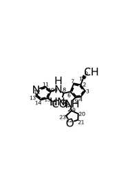 C#Cc1ccc2c(c1)C(Nc1cnccc1C(=O)O)NN2C1CCOC1